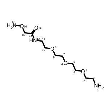 NCCOCCOCCOCCNC(=O)CON